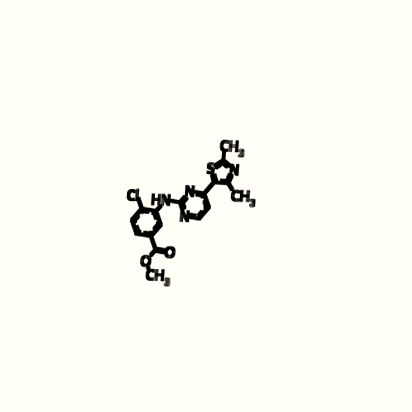 COC(=O)c1ccc(Cl)c(Nc2nccc(-c3sc(C)nc3C)n2)c1